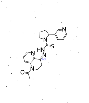 CC(=O)N1CC/C(=N/NC(=S)N2CCCC2c2cccnc2)c2ncccc21